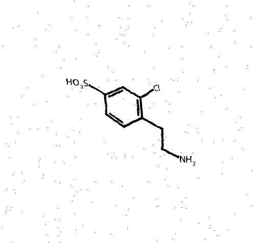 NCCc1ccc(S(=O)(=O)O)cc1Cl